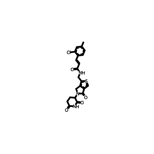 Cc1ccc(C=CC(=O)NCc2scc3c2CN(C2CCC(=O)NC2=O)C3=O)c(Cl)c1